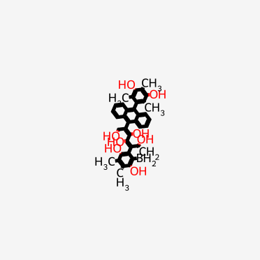 Bc1c(O)c(C)c(C)c(O)c1/C(C(=C)O)=C(O)/C(O)=C(\CO)c1c2ccccc2c(-c2c(C)c(O)c(C)c(O)c2C)c2ccccc12